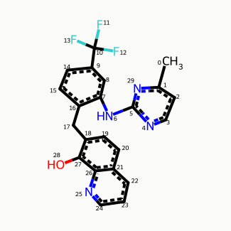 Cc1ccnc(Nc2cc(C(F)(F)F)ccc2Cc2ccc3cccnc3c2O)n1